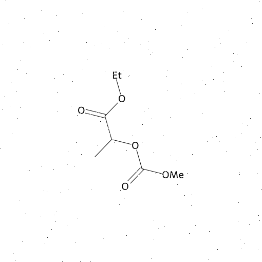 CCOC(=O)C(C)OC(=O)OC